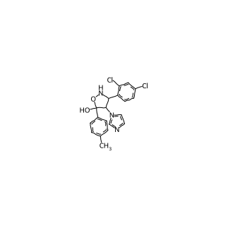 Cc1ccc(C2(O)ONC(c3ccc(Cl)cc3Cl)C2n2ccnc2)cc1